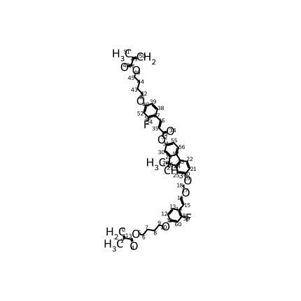 C=C(C)C(=O)OCCCCOc1ccc(C=COCOc2ccc3c(c2)C(C)(C)c2cc(OC(=O)C=Cc4ccc(OCCCCOC(=O)C(=C)C)cc4F)ccc2-3)c(F)c1